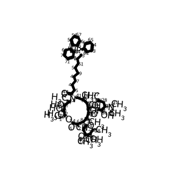 CC[C@H]1OC(=O)[C@H](C)C([C@H]2C[C@@](C)(OC)[C@@H](O)[C@H](C)O2)[C@H](C)[C@@H](O[C@@H]2O[C@H](C)C[C@H](N(C)C)[C@H]2O)[C@](C)(O)C[C@@H](C)CN(C(=O)CCCCCCCCC[PH](c2ccccc2)(c2ccccc2)c2ccccc2)[C@H](C)[C@@H](O)[C@]1(C)O